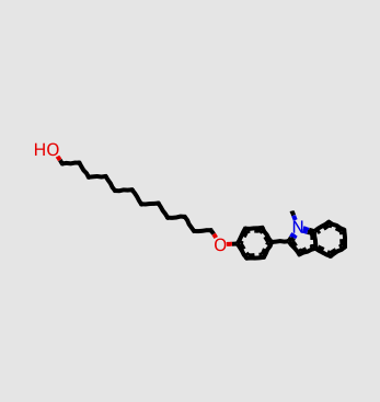 Cn1c(-c2ccc(OCCCCCCCCCCCCO)cc2)cc2ccccc21